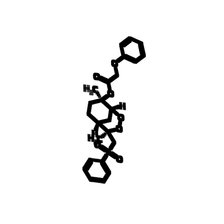 C[C@@]1(OC(=O)COc2ccccc2)CC[C@@H]2C[C@H]1OO[C@@]2(C)CS(=O)(=O)c1ccccc1